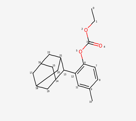 CCOC(=O)Oc1ccc(C)cc1C1C2CC3CC(C2)CC1C3